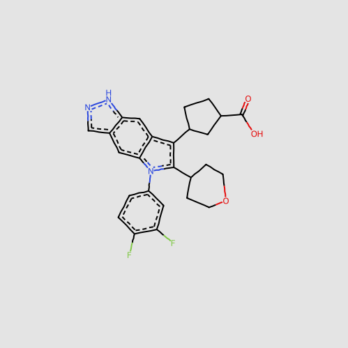 O=C(O)C1CCC(c2c(C3CCOCC3)n(-c3ccc(F)c(F)c3)c3cc4cn[nH]c4cc23)C1